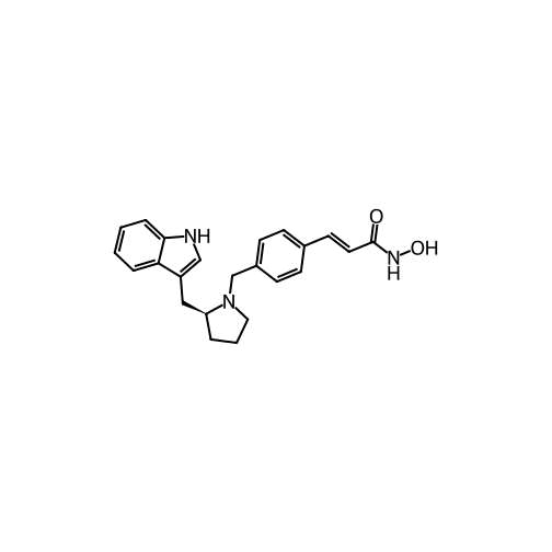 O=C(C=Cc1ccc(CN2CCC[C@H]2Cc2c[nH]c3ccccc23)cc1)NO